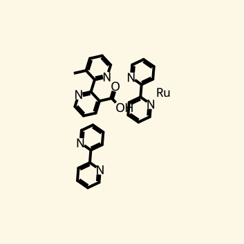 Cc1cccnc1-c1ncccc1C(=O)O.[Ru].c1ccc(-c2ccccn2)nc1.c1ccc(-c2ccccn2)nc1